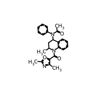 CC(=O)N(c1ccccc1)C1CC(C)N(C(=O)c2oc(C)nc2C)c2ccccc21